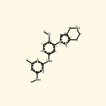 CNc1cc(C)nc(Nc2cc(-n3cc4c(n3)CCNC4)c(OC)cn2)n1